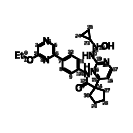 CCOc1cncc(-c2ccc(NC(=O)C3(c4ccnc(NN(O)C5CC5)n4)CCCC3)cc2)n1